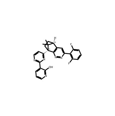 CC1(C)[C@H]2CC[C@]1(c1ccnc(-c3cccnc3O)n1)c1nnc(-c3c(F)cccc3F)cc12